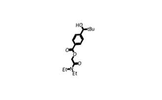 CCN(CC)C(=O)COC(=O)c1ccc(C(O)C(C)(C)C)cc1